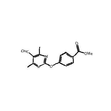 COC(=O)c1ccc(Oc2nc(C)c(C=O)c(C)n2)cc1